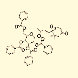 CC(/C=C/C12OC1(C)CC(=O)CC2(C)C)OC1OC(COC(=O)c2ccccc2)C(OC(=O)c2ccccc2)C(OC(=O)c2ccccc2)C1OC(=O)c1ccccc1